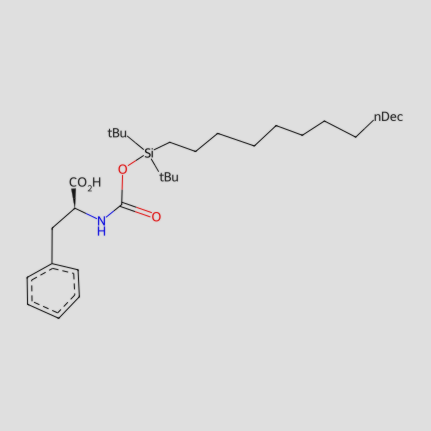 CCCCCCCCCCCCCCCCCC[Si](OC(=O)N[C@@H](Cc1ccccc1)C(=O)O)(C(C)(C)C)C(C)(C)C